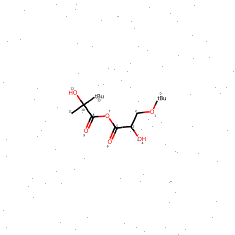 CC(C)(C)OCC(O)C(=O)OC(=O)C(C)(O)C(C)(C)C